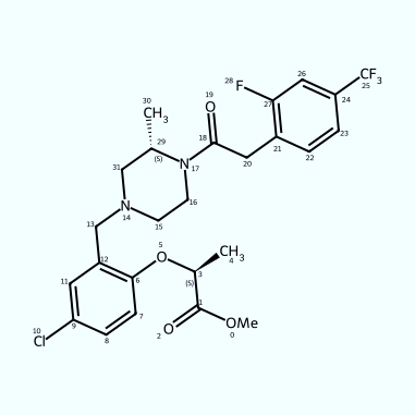 COC(=O)[C@H](C)Oc1ccc(Cl)cc1CN1CCN(C(=O)Cc2ccc(C(F)(F)F)cc2F)[C@@H](C)C1